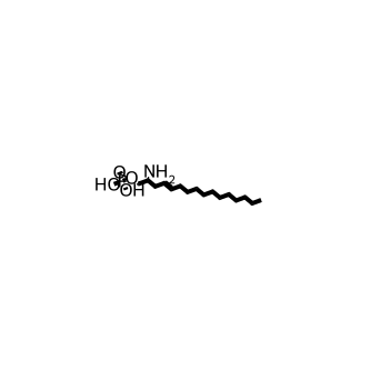 CCCCCCCCCCC/C=C/C[C@@H](N)COP(=O)(O)O